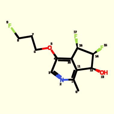 Cc1ncc(OCCCF)c2c1[C@H](O)[C@H](F)[C@@H]2F